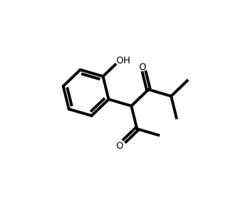 CC(=O)C(C(=O)C(C)C)c1ccccc1O